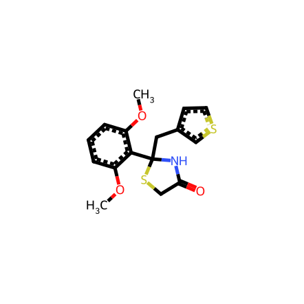 COc1cccc(OC)c1C1(Cc2ccsc2)NC(=O)CS1